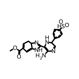 COC(=O)C1=CCC2N=C(C3=C(N)N=CC(c4ccc([SH](=O)=O)cc4)N3)NC2=C1